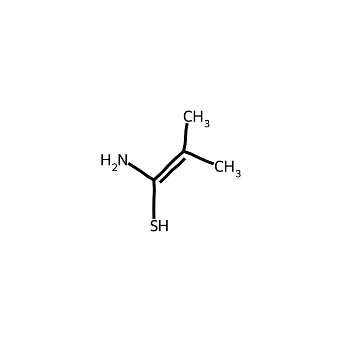 CC(C)=C(N)S